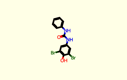 O=C(Nc1ccccc1)Nc1cc(Br)c(O)c(Br)c1